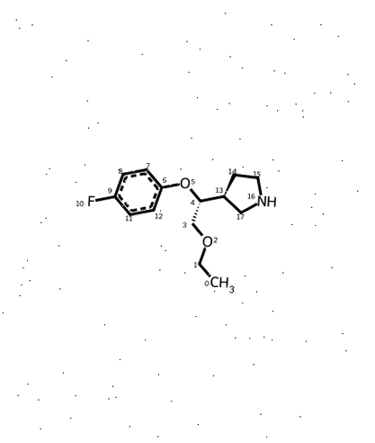 CCOC[C@H](Oc1ccc(F)cc1)[C@H]1CCNC1